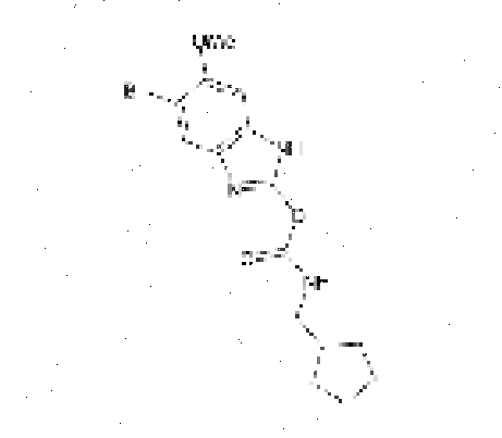 COc1cc2[nH]c(OC(=O)NCC3CCCC3)nc2cc1Br